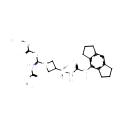 CC(C)(C)OC(=O)/N=C(/NC(=O)OC(C)(C)C)N1CC(S(=O)(=O)NC(=O)Nc2c3c(cc4c2CCC4)CCC3)C1